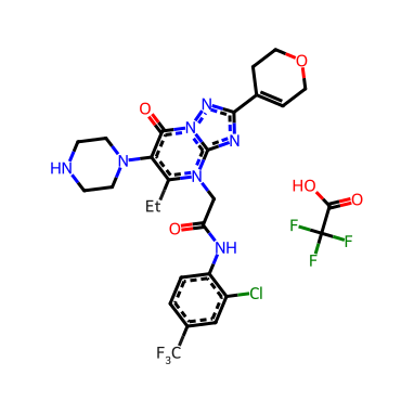 CCc1c(N2CCNCC2)c(=O)n2nc(C3=CCOCC3)nc2n1CC(=O)Nc1ccc(C(F)(F)F)cc1Cl.O=C(O)C(F)(F)F